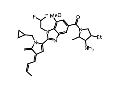 C=c1/c(=C\C=C/C)cc(-c2nc3cc(C(=O)N4CC(CC)C(N)C4C)cc(OC)c3n2CC(F)F)n1CC1CC1